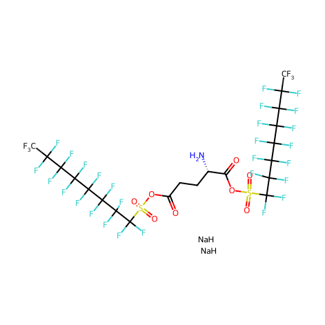 N[C@@H](CCC(=O)OS(=O)(=O)C(F)(F)C(F)(F)C(F)(F)C(F)(F)C(F)(F)C(F)(F)C(F)(F)C(F)(F)F)C(=O)OS(=O)(=O)C(F)(F)C(F)(F)C(F)(F)C(F)(F)C(F)(F)C(F)(F)C(F)(F)C(F)(F)F.[NaH].[NaH]